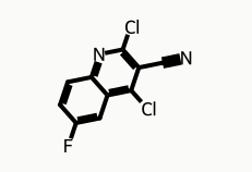 N#Cc1c(Cl)nc2ccc(F)cc2c1Cl